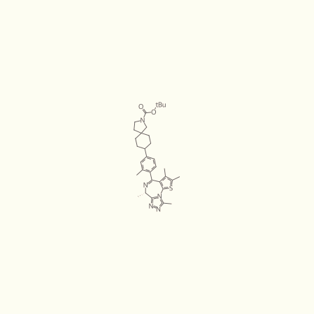 Cc1cc(C2CCC3(CC2)CCN(C(=O)OC(C)(C)C)C3)ccc1C1=N[C@@H](C)c2nnc(C)n2-c2sc(C)c(C)c21